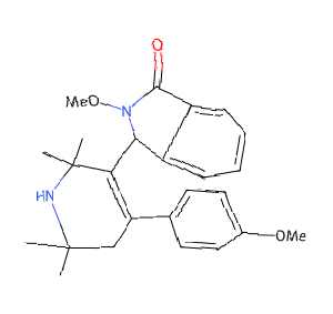 COc1ccc(C2=C(C3c4ccccc4C(=O)N3OC)C(C)(C)NC(C)(C)C2)cc1